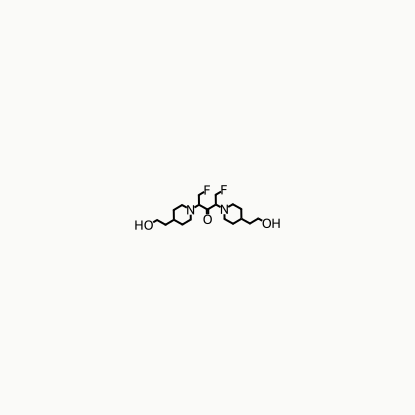 O=C(C(CF)N1CCC(CCO)CC1)C(CF)N1CCC(CCO)CC1